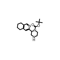 CC(C)(C)OC(=O)N1CCNCC1c1cc2c(cn1)CCCC2